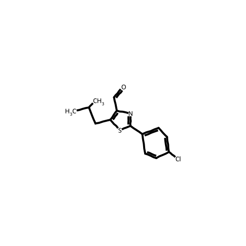 CC(C)Cc1sc(-c2ccc(Cl)cc2)nc1C=O